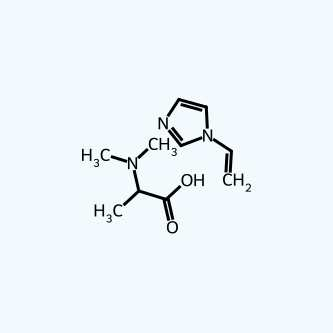 C=Cn1ccnc1.CC(C(=O)O)N(C)C